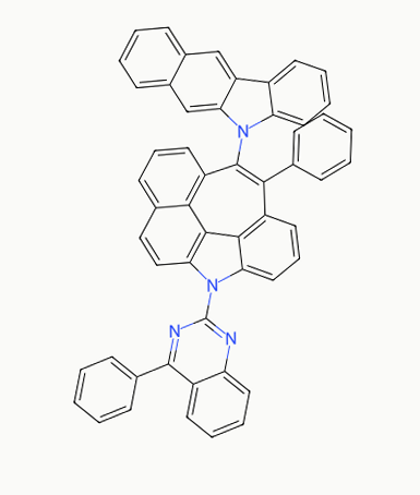 c1ccc(C2=C(n3c4ccccc4c4cc5ccccc5cc43)c3cccc4ccc5c(c34)c3c2cccc3n5-c2nc(-c3ccccc3)c3ccccc3n2)cc1